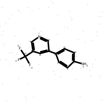 Nc1ccc(-c2cncc(C(F)(F)F)c2)cc1